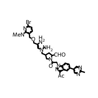 CNc1nc(Br)ccc1COC/C(N)=C/N(N)CC1CC(C=O)N(C(=O)Cn2nc(C(C)=O)c3cc(-c4cnc(C)nc4)ccc32)C1